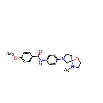 CCCCOc1ccc(C(=O)Nc2ccc(N3CCC4(C3)OCCN4C(C)=O)cc2)cc1